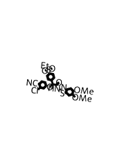 CCS(=O)(=O)c1ccc(C(Oc2ccc(C#N)c(Cl)c2)C(=O)Nc2nc3cc(OC)c(OC)cc3s2)cc1